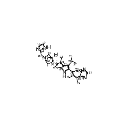 Cc1c(-c2[nH]c3sc([C@@H]4CC5C[C@H]4CN5Cc4ncc[nH]4)c(C)c3c2C(C)C)cn2ncnc2c1C